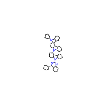 c1ccc(-c2nc(-n3c4ccccc4c4c(-n5c6ccccc6c6c7c8ccccc8n(-c8ccccc8)c7ccc65)cccc43)nc3ccccc23)cc1